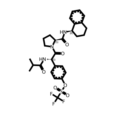 CC(C)C(=O)N[C@H](C(=O)N1CCC[C@H]1C(=O)N[C@@H]1CCCc2ccccc21)c1ccc(OS(=O)(=O)C(F)(F)F)cc1